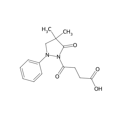 CC1(C)CN(c2ccccc2)N(C(=O)CCC(=O)O)C1=O